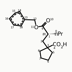 CCC[C@H](CC1(C(=O)O)CCCC1)C(=O)OCc1ccccc1